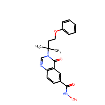 CC(C)(CCOc1ccccc1)n1cnc2ccc(C(=O)NO)cc2c1=O